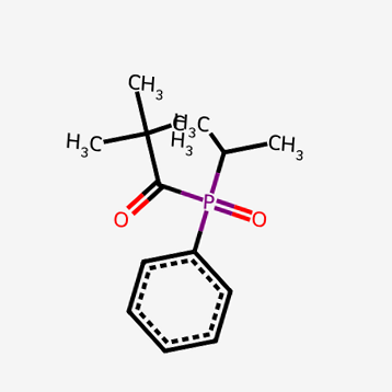 CC(C)P(=O)(C(=O)C(C)(C)C)c1ccccc1